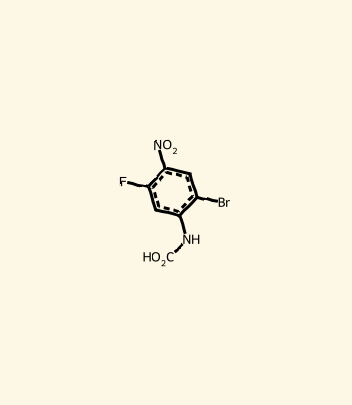 O=C(O)Nc1cc(F)c([N+](=O)[O-])cc1Br